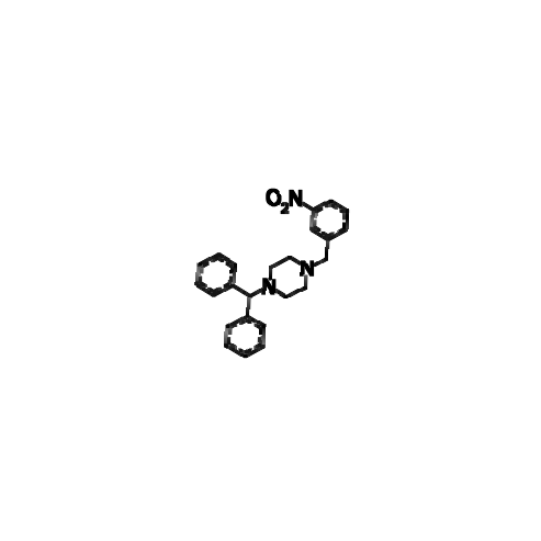 O=[N+]([O-])c1cccc(CN2CCN(C(c3ccccc3)c3ccccc3)CC2)c1